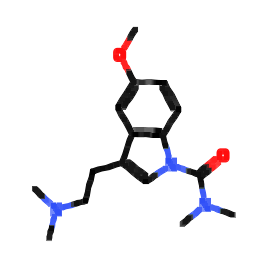 COc1ccc2c(c1)c(CCN(C)C)cn2C(=O)N(C)C